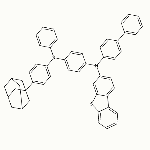 c1ccc(-c2ccc(N(c3ccc(N(c4ccccc4)c4ccc(C56CC7CC(CC(C7)C5)C6)cc4)cc3)c3ccc4c(c3)sc3ccccc34)cc2)cc1